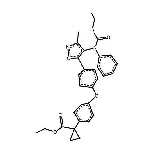 CCOC(=O)N(c1ccccc1)c1c(C)noc1-c1ccc(Oc2ccc(C3(C(=O)OCC)CC3)cc2)cc1